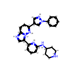 c1ccc(-n2cc(-c3ccc4ncc(-c5cccc(NC6CCNCC6)n5)n4n3)cn2)cc1